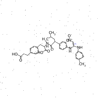 Cc1ccc(N/C(=C/[N+](=O)[O-])Nc2ccc(C(CC(C)C)C(=O)NC(Cc3ccc(CCC(=O)O)cc3)C(=O)O)cc2)cc1